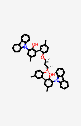 Cc1ccc(O[C@H](C)C[C@H](C)Oc2ccc(C)cc2-c2cc(C)cc(-n3c4ccccc4c4ccccc43)c2O)c(-c2cc(C)cc(-n3c4ccccc4c4ccccc43)c2O)c1